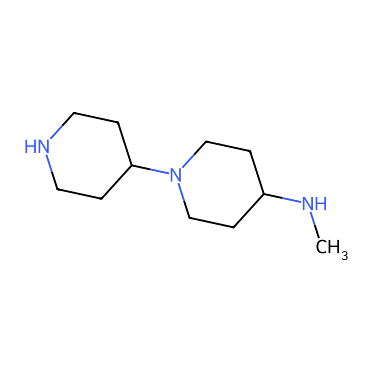 CNC1CCN(C2CCNCC2)CC1